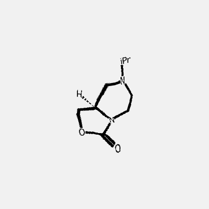 CC(C)N1CCN2C(=O)OC[C@H]2C1